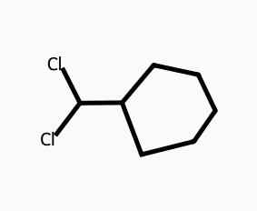 ClC(Cl)C1CCCCC1